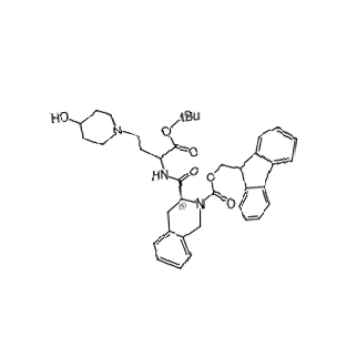 CC(C)(C)OC(=O)C(CCN1CCC(O)CC1)NC(=O)[C@@H]1Cc2ccccc2CN1C(=O)OCC1c2ccccc2-c2ccccc21